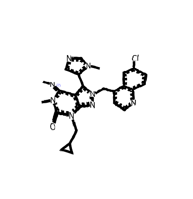 C/N=c1/c2c(-c3cncn3C)n(Cc3ccnc4ccc(Cl)cc34)nc2n(CC2CC2)c(=O)n1C